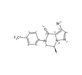 C[C@H]1CN(c2ccc(C(F)(F)F)cc2)C(=O)c2c(Br)cnn21